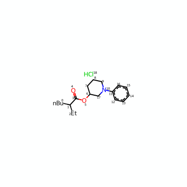 CCCCC(CC)C(=O)OC1CCCN(c2ccccc2)C1.Cl